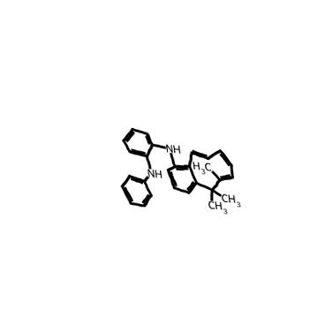 C\C1=C/C=C\C=C\c2c(Nc3ccccc3Nc3ccccc3)cccc2C1(C)C